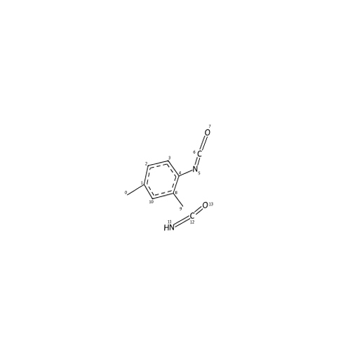 Cc1ccc(N=C=O)c(C)c1.N=C=O